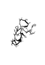 CCCN(CCC)CCCN1C(=O)c2cc3oc(C)cc3n2CC1(C)C(=O)NC1CCCCCC1